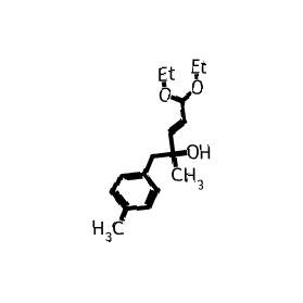 CCOC(C=CC(C)(O)Cc1ccc(C)cc1)OCC